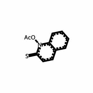 CC(=O)On1c(=S)ccc2ccccc21